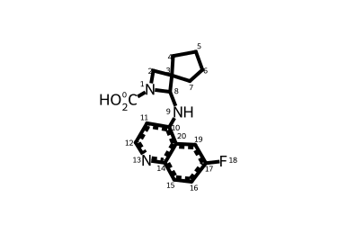 O=C(O)N1CC2(CCCC2)C1Nc1ccnc2ccc(F)cc12